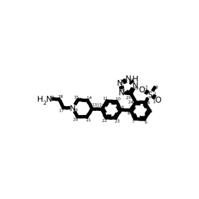 CS(=O)(=O)c1cccc(-c2ccc(C3CCN(CCN)CC3)cc2)c1-c1nnn[nH]1